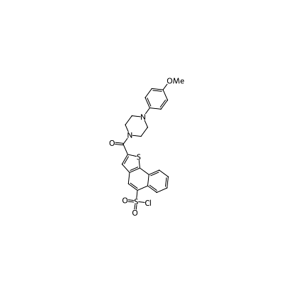 COc1ccc(N2CCN(C(=O)c3cc4cc(S(=O)(=O)Cl)c5ccccc5c4s3)CC2)cc1